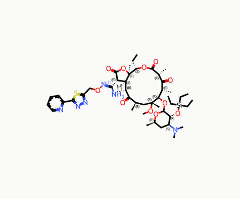 CC[C@@H]1OC(=O)[C@H](C)C(=O)[C@H](C)[C@@H](OC2O[C@H](C)C[C@H](N(C)C)[C@H]2O[Si](CC)(CC)CC)[C@](C)(OC)C[C@@H](C)C(=O)[C@H](C)[C@H]2[C@H](/C(N)=N/OCc3nnc(-c4ccccn4)s3)C(=O)O[C@]21C